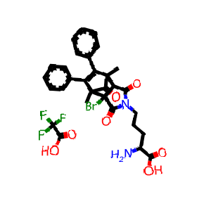 CC12C(=O)C(C)(C(c3ccccc3)=C1c1ccccc1)C1(Br)C(=O)N(CCCC(N)C(=O)O)C(=O)C21.O=C(O)C(F)(F)F